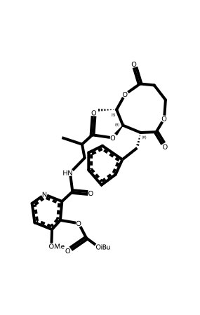 COc1ccnc(C(=O)NCC(C)C(=O)O[C@H]2[C@H](C)OC(=O)CCOC(=O)[C@@H]2Cc2ccccc2)c1OC(=O)OCC(C)C